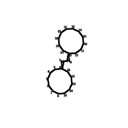 C1CCCCCC(=NN=C2CCCCCCCCCCC2)CCCCC1